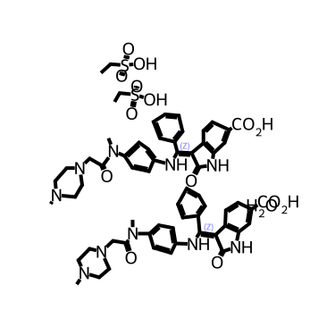 CCS(=O)(=O)O.CCS(=O)(=O)O.CN1CCN(CC(=O)N(C)c2ccc(N/C(=C3\C(=O)Nc4cc(C(=O)O)ccc43)c3ccccc3)cc2)CC1.CN1CCN(CC(=O)N(C)c2ccc(N/C(=C3\C(=O)Nc4cc(C(=O)O)ccc43)c3ccccc3)cc2)CC1.O